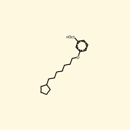 CCCCCCCCc1c[c]cc(OCCCCCCCC2CCCC2)c1